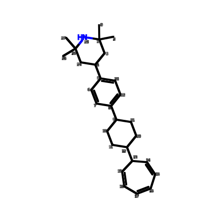 CC1(C)CC(c2ccc(C3CCC(C4C=CC=CC=C4)CC3)cc2)CC(C)(C)N1